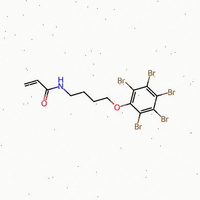 C=CC(=O)NCCCCOc1c(Br)c(Br)c(Br)c(Br)c1Br